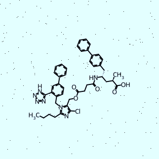 CCCCc1nc(Cl)c(COC(=O)CCC(=O)N[C@H](Cc2ccc(-c3ccccc3)cc2)C[C@@H](C)C(=O)O)n1Cc1ccc(-c2ccccc2)cc1-c1nnn[nH]1